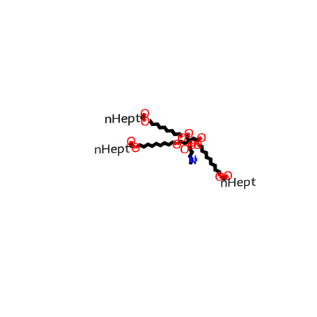 CCCCCCCC(=O)OCCCCCCCCCOCCC(CC(=O)OCCCCCCCCCOC(=O)CCCCCCC)(OC(=O)CCN(C)C)C(=O)OCCCCCCCCCOC(=O)CCCCCCC